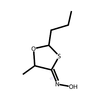 CCCC1OC(C)/C(=N/O)S1